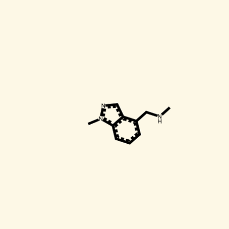 CNCc1cccc2c1cnn2C